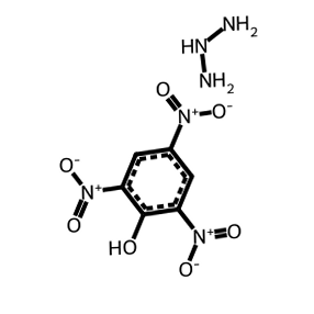 NNN.O=[N+]([O-])c1cc([N+](=O)[O-])c(O)c([N+](=O)[O-])c1